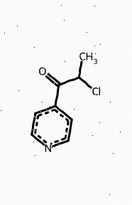 CC(Cl)C(=O)c1ccncc1